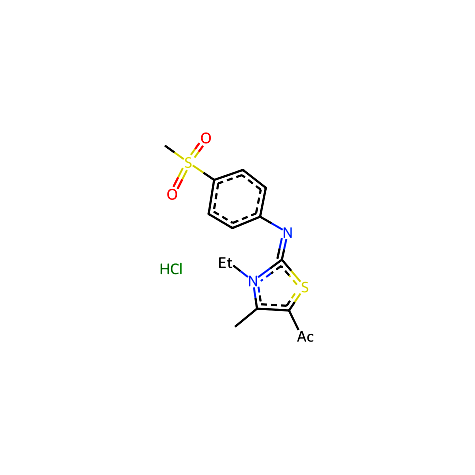 CCn1c(C)c(C(C)=O)sc1=Nc1ccc(S(C)(=O)=O)cc1.Cl